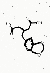 O=C(O)CC(CC(=O)O)Cc1ccc2c(c1)OCO2